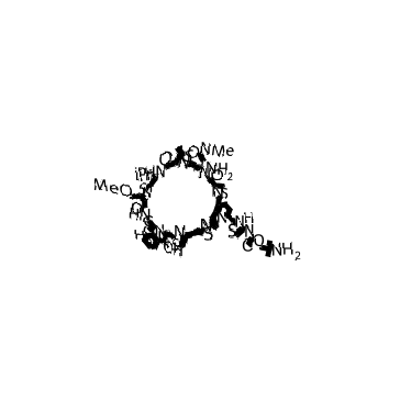 CNC(=O)C[C@H]1c2nc(c(C)s2)C(=O)N[C@@H](C(C)C)c2nc(c(COC)s2)C(=O)NCC(=O)N(N)[C@@H]([C@@H](O)c2ccccc2)c2nc(cs2)-c2nc(cs2)-c2nc(-c3nc(NC(=O)OCC(C)(C)N)cs3)ccc2-c2nc(cs2)C(=O)N1N